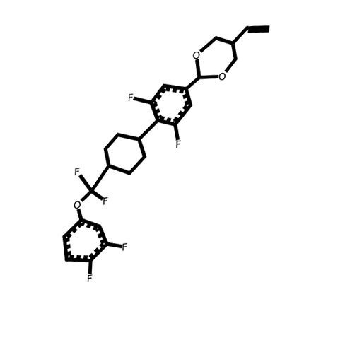 C=CC1COC(c2cc(F)c(C3CCC(C(F)(F)Oc4ccc(F)c(F)c4)CC3)c(F)c2)OC1